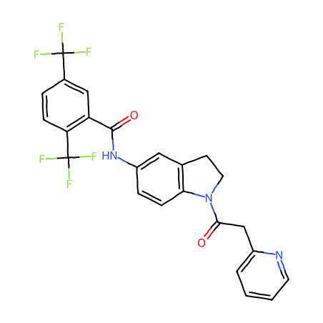 O=C(Nc1ccc2c(c1)CCN2C(=O)Cc1ccccn1)c1cc(C(F)(F)F)ccc1C(F)(F)F